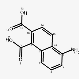 Nc1cccc2c(C(=O)O)c(C(=O)O)ccc12